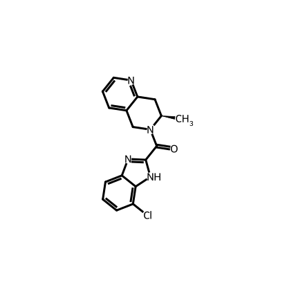 C[C@@H]1Cc2ncccc2CN1C(=O)c1nc2cccc(Cl)c2[nH]1